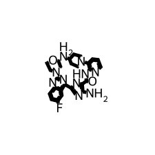 Nc1ncc(-c2nc(N3CCOCC3)nc3ccc(F)cc23)nc1C(=O)Nc1ncccc1N1CCC(N)CC1